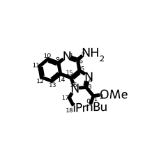 CCCCC(OC)c1nc2c(N)nc3ccccc3c2n1CC(C)C